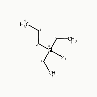 CCC[Si]([S])(CC)CC